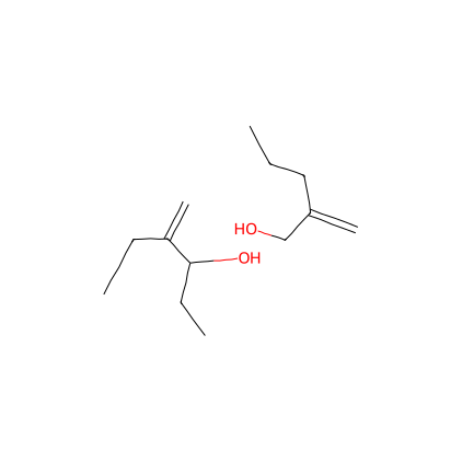 C=C(CC)C(O)CC.C=C(CO)CCC